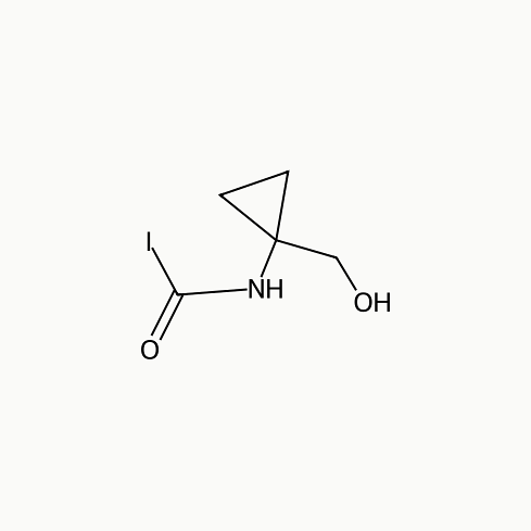 O=C(I)NC1(CO)CC1